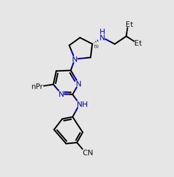 CCCc1cc(N2CC[C@H](NCC(CC)CC)C2)nc(Nc2cccc(C#N)c2)n1